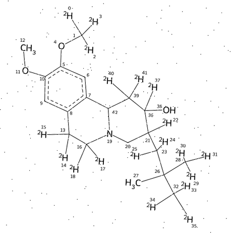 [2H]C([2H])([2H])Oc1cc2c(cc1OC)C([2H])([2H])C([2H])([2H])N1CC([2H])(C([2H])([2H])C(C)(C([2H])([2H])[2H])C([2H])([2H])[2H])C([2H])(O)C([2H])([2H])C21